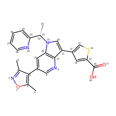 Cc1noc(C)c1-c1cnc2c(-c3csc(C(=O)O)c3)cn([C@@H](C)c3ccccn3)c2c1